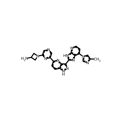 Cc1cn(-c2ccnc3[nH]c(-c4n[nH]c5ccc(-c6cncc(N7CC(N)C7)n6)nc45)nc23)cn1